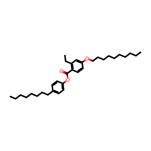 CCCCCCCCCCOc1ccc(C(=O)Oc2ccc(CCCCCCCC)cc2)c(CC)c1